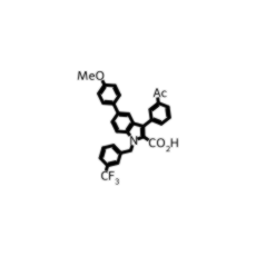 COc1ccc(-c2ccc3c(c2)c(-c2cccc(C(C)=O)c2)c(C(=O)O)n3Cc2cccc(C(F)(F)F)c2)cc1